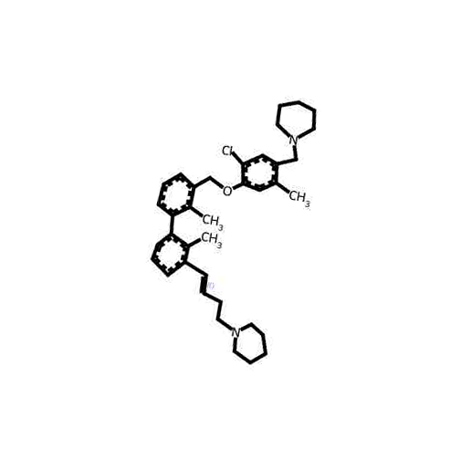 Cc1cc(OCc2cccc(-c3cccc(/C=C/CCN4CCCCC4)c3C)c2C)c(Cl)cc1CN1CCCCC1